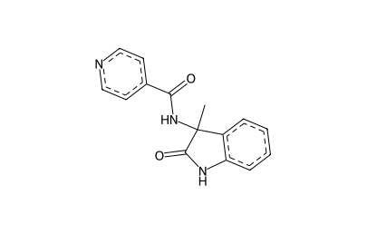 CC1(NC(=O)c2ccncc2)C(=O)Nc2ccccc21